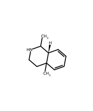 CC1NCCC2(C)C=CC=C[C@@H]12